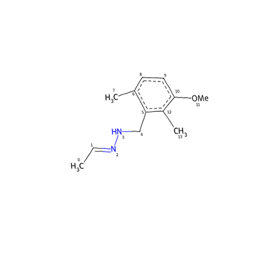 C/C=N/NCc1c(C)ccc(OC)c1C